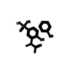 CC(=O)N(C)c1cc([As](=O)(O)O)ccc1O.Oc1ccccc1